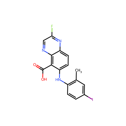 Cc1cc(I)ccc1Nc1ccc2nc(F)cnc2c1C(=O)O